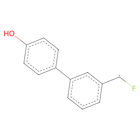 Oc1ccc(-c2cccc([CH]F)c2)cc1